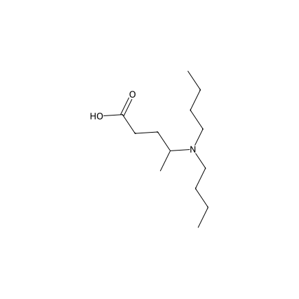 CCCCN(CCCC)C(C)CCC(=O)O